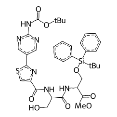 COC(=O)C(CO[Si](c1ccccc1)(c1ccccc1)C(C)(C)C)NC(=O)C(CO)NC(=O)c1csc(-c2cnc(NC(=O)OC(C)(C)C)nc2)n1